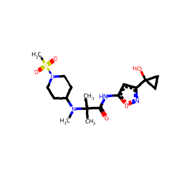 CN(C1CCN(S(C)(=O)=O)CC1)C(C)(C)C(=O)Nc1cc(C2(O)CC2)no1